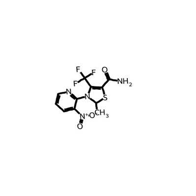 CC1SC(C(N)=O)=C(C(F)(F)F)N1c1ncccc1[N+](=O)[O-]